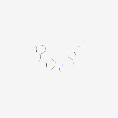 CN(C)Cc1cc2c(o1)CN(C(=O)c1ccc(C(=O)c3cccc(Cl)c3)cc1)CC2.Cl